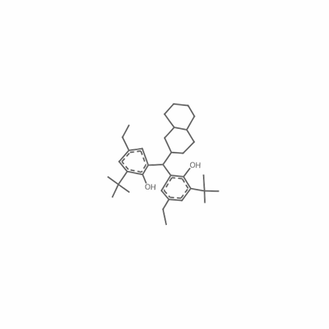 CCc1cc(C(c2cc(CC)cc(C(C)(C)C)c2O)C2CCC3CCCCC3C2)c(O)c(C(C)(C)C)c1